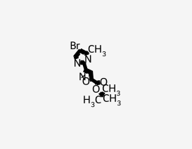 Cc1nc(-c2cc(C(=O)OC(C)(C)C)on2)ncc1Br